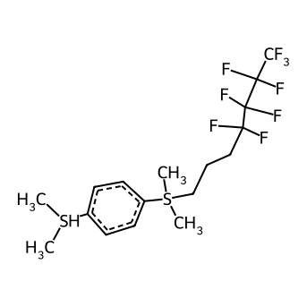 C[SH](C)c1ccc(S(C)(C)CCCC(F)(F)C(F)(F)C(F)(F)C(F)(F)F)cc1